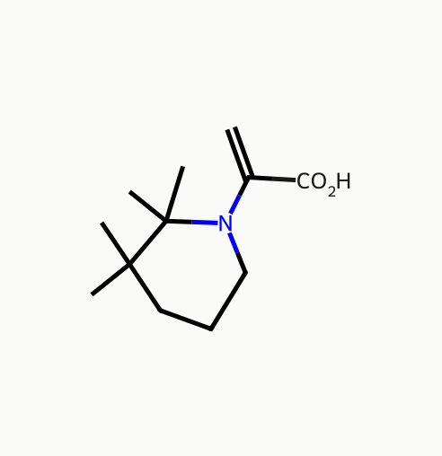 C=C(C(=O)O)N1CCCC(C)(C)C1(C)C